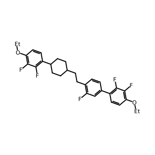 CCOc1ccc(-c2ccc(CCC3CCC(c4ccc(OCC)c(F)c4F)CC3)c(F)c2)c(F)c1F